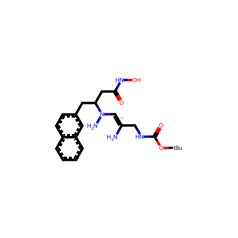 CC(C)(C)OC(=O)NC/C(N)=C/N(N)C(CC(=O)NO)Cc1ccc2ccccc2c1